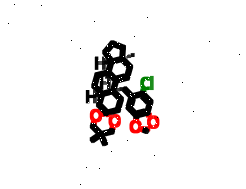 CC1(C)COC2(CC[C@]3(Cc4cc5c(cc4Cl)OCO5)C4=CC[C@]5(C)CCC[C@H]5[C@@H]4CC[C@H]3C2)OC1